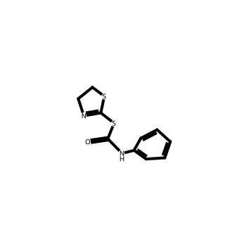 O=C(Nc1ccccc1)SC1=NCCS1